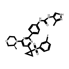 Cc1n[nH]cc1NC(=O)Nc1ccc(-c2nc(N3CCOC[C@@H]3C)cc(C3(S(=O)(=O)c4cccc(F)c4)CC3)n2)cc1